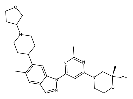 Cc1nc(N2CCO[C@@](C)(O)C2)cc(-n2ncc3cc(C)c(C4CCN(C5CCOC5)CC4)cc32)n1